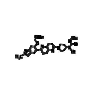 CCN(C(=O)OC(C)(C)C)C1CCN(c2ccc3nc(-c4cc5cn(C)nc5cc4OCOC)ccc3n2)CC1